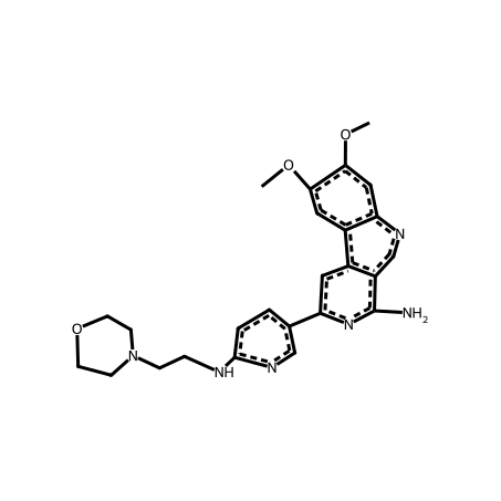 COc1cc2ncc3c(N)nc(-c4ccc(NCCN5CCOCC5)nc4)cc3c2cc1OC